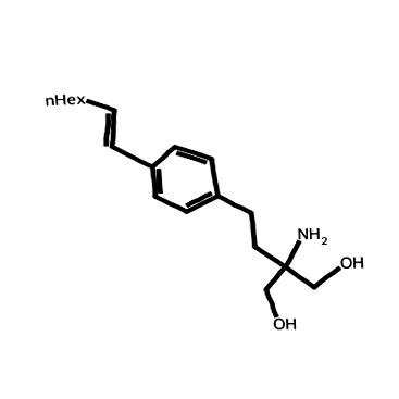 CCCCCC/C=C/c1ccc(CCC(N)(CO)CO)cc1